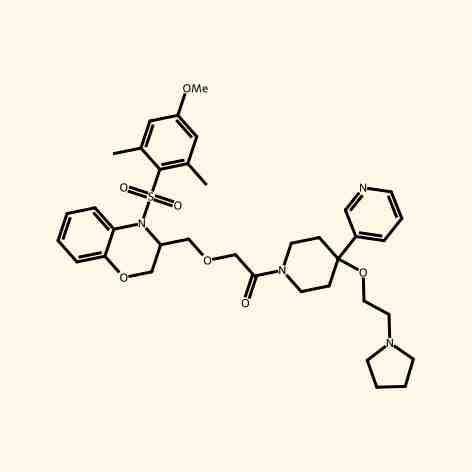 COc1cc(C)c(S(=O)(=O)N2c3ccccc3OCC2COCC(=O)N2CCC(OCCN3CCCC3)(c3cccnc3)CC2)c(C)c1